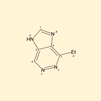 CCc1nncc2[nH]cnc12